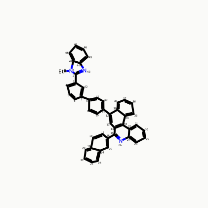 CCn1c(-c2cccc(-c3ccc(-c4cc5c(-c6ccc7ccccc7c6)nc6ccccc6c5c5ccccc45)cc3)c2)nc2ccccc21